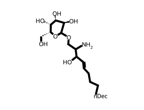 CCCCCCCCCCCCCC=CC(O)C(N)COC1O[C@H](CO)[C@H](O)[C@H](O)[C@H]1O